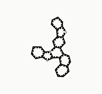 c1ccc2c(c1)ccc1c3cc4sc5ccccc5c4cc3n3c4ccccc4nc3c21